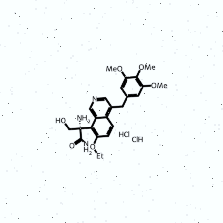 CCOc1ccc2c(Cc3cc(OC)c(OC)c(OC)c3)cncc2c1[C@](N)(CO)C(N)=O.Cl.Cl